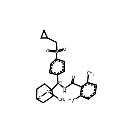 Cc1cccc(C)c1C(=O)N[C@H](c1ccc(S(=O)(=O)CC2CC2)cc1)C12CCC(CC1)CN2C